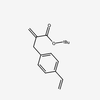 C=Cc1ccc(CC(=C)C(=O)OC(C)(C)C)cc1